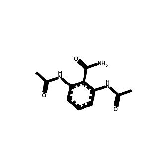 CC(=O)Nc1cccc(NC(C)=O)c1C(N)=O